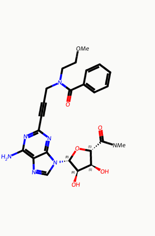 CNC(=O)[C@H]1O[C@@H](n2cnc3c(N)nc(C#CCN(CCOC)C(=O)c4ccccc4)nc32)[C@H](O)[C@@H]1O